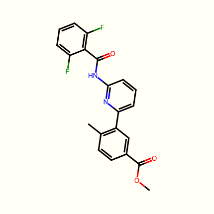 COC(=O)c1ccc(C)c(-c2cccc(NC(=O)c3c(F)cccc3F)n2)c1